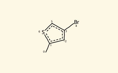 Cc1[c]c(Br)cs1